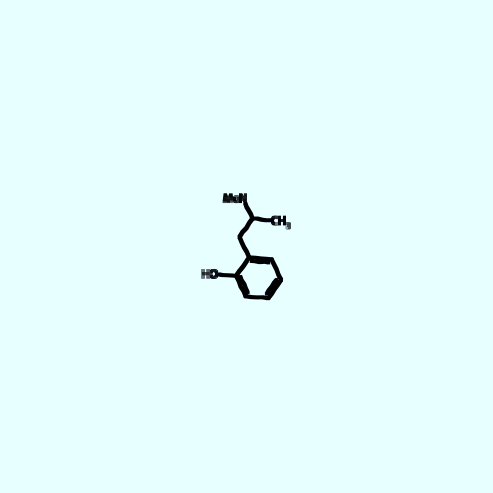 CNC(C)Cc1ccccc1O